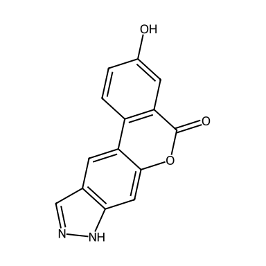 O=c1oc2cc3[nH]ncc3cc2c2ccc(O)cc12